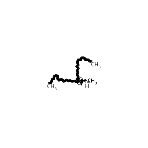 CCCCC/C=C\C/C=C\CCCCCCCCC1(CCCCCCCC/C=C\C/C=C\CCCCC)OC[C@H](CNC)O1